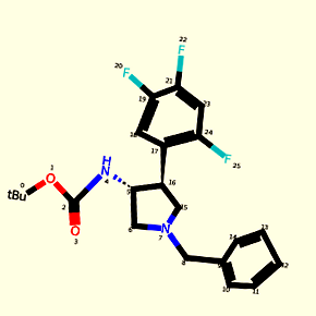 CC(C)(C)OC(=O)N[C@H]1CN(Cc2ccccc2)C[C@@H]1c1cc(F)c(F)cc1F